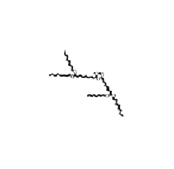 CCCCCCCCOC(CCCCCC=CC(OC)OC(C=CCCCCCC(OCCCCCCCC)OCCCCCCCC)OC)OCCCCCCCC